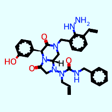 C=CCN(C(=O)NCc1ccccc1)N1CC(=O)N2[C@@H](c3cccc(O)c3)C(=O)N(Cc3cccc(C=C)c3NN)C[C@@H]21